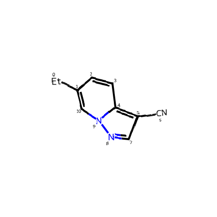 CCc1ccc2c(C#N)cnn2c1